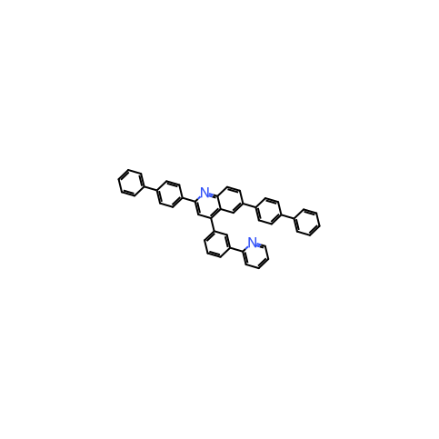 c1ccc(-c2ccc(-c3ccc4nc(-c5ccc(-c6ccccc6)cc5)cc(-c5cccc(-c6ccccn6)c5)c4c3)cc2)cc1